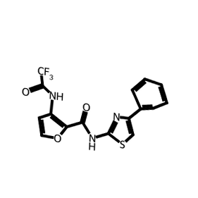 O=C(Nc1nc(-c2ccccc2)cs1)c1occc1NC(=O)C(F)(F)F